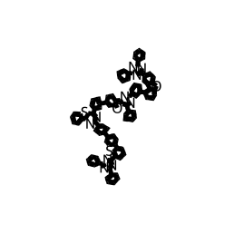 c1ccc(-c2nc(-c3ccccc3)nc(-c3ccc4oc5cccc(-c6cccc(-c7nc(-c8ccccc8)c8oc9cc(-c%10cccc(C%11=NC(c%12ccc(-c%13ccc%14c(c%13)sc%13c(-c%15nc(-c%16ccccc%16)nc(-c%16ccccc%16)n%15)cccc%13%14)cc%12)=NC%12c%13ccccc%13SC%11%12)c%10)ccc9c8n7)c6)c5c4c3)n2)cc1